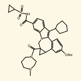 COc1ccc2c(c1)C1CC1(C(=O)N1CCCN(C)CC1)Cn1c-2c(C2CCCCC2)c2ccc(C(=O)NS(=O)(=O)C3CC3)cc21